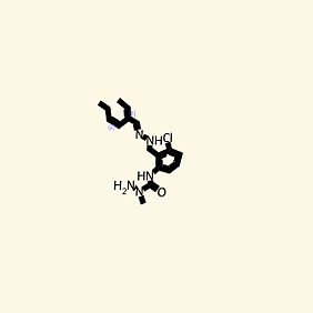 C/C=C(C=NNCc1c(Cl)cccc1NC(=O)N(C)N)\C=C/CC